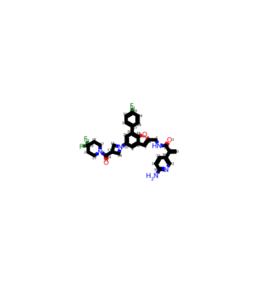 C=C(C(=O)NCc1cc2cc(N3CC(C(=O)N4CCC(F)(F)CC4)C3)cc(-c3ccc(F)cc3)c2o1)c1ccc(N)nc1